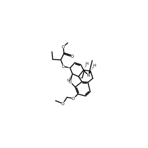 CCC(O[C@H]1C=C[C@H]2[C@H]3Cc4ccc(OCOC)c5c4[C@@]2(CCN3C)[C@H]1O5)C(=O)OC